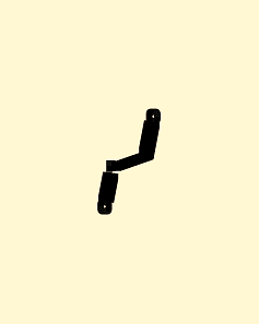 O=CP=O